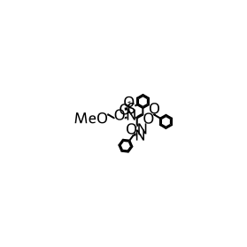 COCCOCN1C(c2nnc(-c3ccccc3)o2)=C(OC(=O)c2ccccc2)c2ccccc2S1(=O)=O